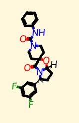 O=C(Nc1ccccc1)N1CCC2(CC1)O[C@@H]1CC[C@@H](c3cc(F)cc(F)c3)N1C2=O